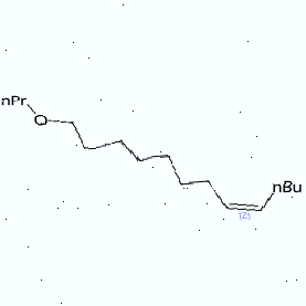 CCCC/C=C\CCCCCCCOCCC